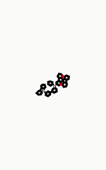 c1ccc(N(c2cccc(-c3cccc(-n4c5ccccc5c5ccccc54)c3)c2)c2ccc3c(c2)-c2ccccc2C32c3ccccc3-c3ccccc32)cc1